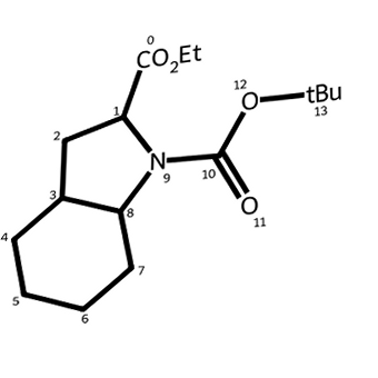 CCOC(=O)C1CC2CCCCC2N1C(=O)OC(C)(C)C